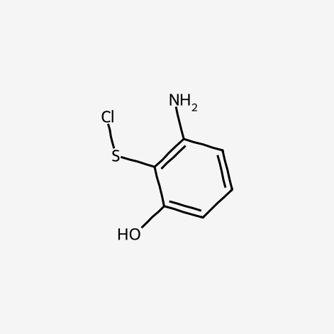 Nc1cccc(O)c1SCl